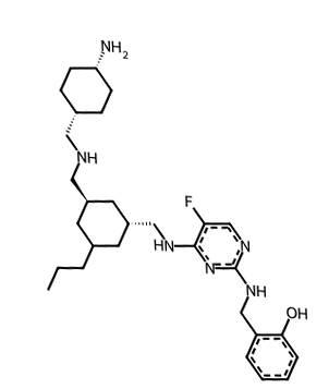 CCCC1C[C@@H](CNC[C@H]2CC[C@@H](N)CC2)C[C@H](CNc2nc(NCc3ccccc3O)ncc2F)C1